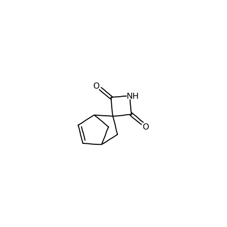 O=C1NC(=O)C12CC1C=CC2C1